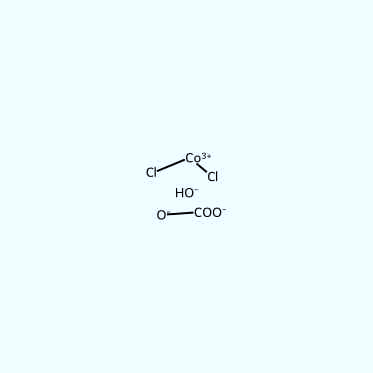 O=C([O-])[O-].[Cl][Co+3][Cl].[OH-]